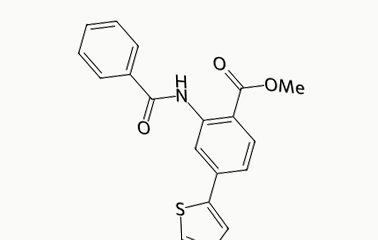 COC(=O)c1ccc(-c2cccs2)cc1NC(=O)c1ccccc1